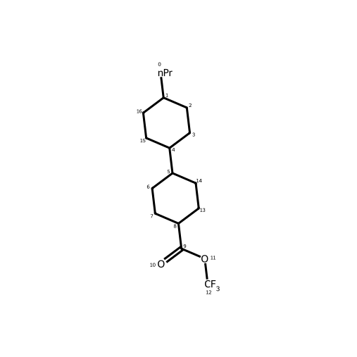 CCCC1CCC(C2CCC(C(=O)OC(F)(F)F)CC2)CC1